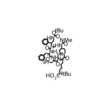 CNC(=O)NC1CCN(C(=O)[C@@H](CCCCN(C(=O)O)C(C)(C)C)NC(=O)[C@@H](CC(C)C)NC(=O)[C@@H](Cc2ccccc2)NC(=O)N(C)C(CNC(=O)OC(C)(C)C)c2ccccc2)CC1